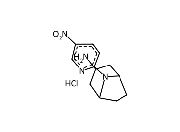 Cl.NC1CC2CCC(C1)N2c1ccc([N+](=O)[O-])cn1